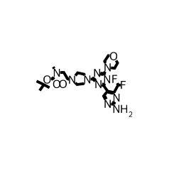 CN(CC(=O)N1CCN(c2nc(-c3cnc(N)nc3C(F)F)nc(N3CCOCC3)n2)CC1)C(=O)OC(C)(C)C